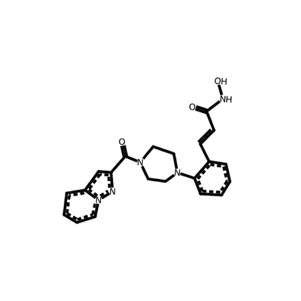 O=C(/C=C/c1ccccc1N1CCN(C(=O)c2cc3ccccn3n2)CC1)NO